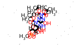 COP1(=O)OC[C@H]2O[C@@H]3[C@@H](Nc4c(O)nc(N(C(=O)OC(C)(C)C)C(=O)OC(C)(C)C)nc4N3C(=O)OC(C)(C)C)C(O)(O)[C@H]2O1